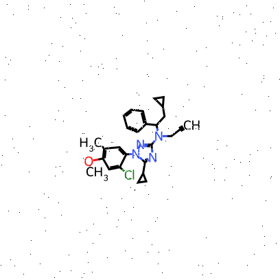 C#CCN(c1nc(C2CC2)n(-c2cc(C)c(OC)cc2Cl)n1)C(CC1CC1)c1ccccc1